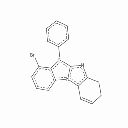 Brc1cccc2c1n(-c1ccccc1)c1nc3c(n21)C=CCC3